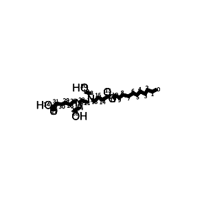 CCCCCCCCCCCOC(=O)CCCN(CCO)CCN(CCO)CCCCCC(=O)O